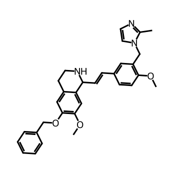 COc1ccc(C=CC2NCCc3cc(OCc4ccccc4)c(OC)cc32)cc1Cn1ccnc1C